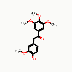 COc1cc(CC(=O)c2cc(OC)c(OC)c(OC)c2)ccc1O